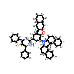 c1ccc(C2=c3sc4ccccc4c3=NC(c3cc(-n4c5ccc6ccccc6c5c5c6ccccc6ccc54)c4oc5cc6ccccc6cc5c4c3)N2)cc1